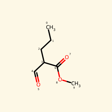 CCCC([C]=O)C(=O)OC